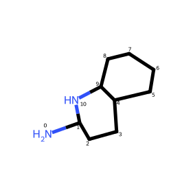 NC1CCC2CCCCC2N1